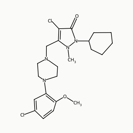 COc1ccc(Cl)cc1N1CCN(Cc2c(Cl)c(=O)n(C3CCCCC3)n2C)CC1